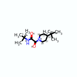 CC(C)(C)NC(=O)C(=O)N1CCC(C(C)(C)C)CC1